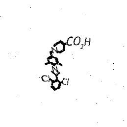 Cc1cc(CN2CCC(C(=O)O)CC2)cc(C)c1N1CC(c2c(Cl)cccc2Cl)C1